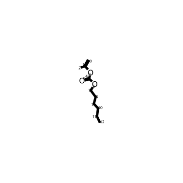 C=C(C)OC(=O)OCCCCCC